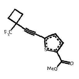 COC(=O)c1ccc(C#CC2(C(F)(F)F)CCC2)s1